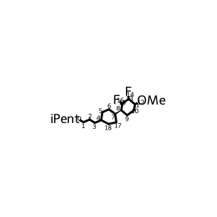 CCCC(C)CCCC1CCC([C@@H]2CCC(OC)C(F)C2F)CC1